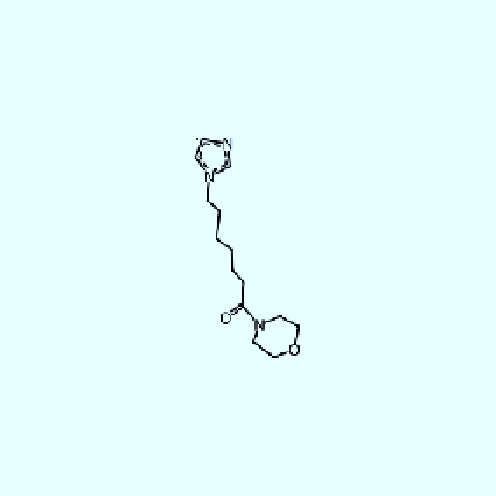 O=C(CCCCCCn1c[c]nc1)N1CCOCC1